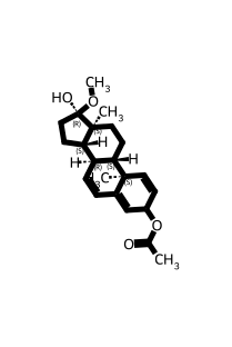 CO[C@]1(O)CC[C@H]2[C@@H]3C=CC4=CC(OC(C)=O)C=C[C@]4(C)[C@H]3CC[C@@]21C